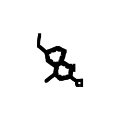 CCc1ccc2nc(Cl)cc(C)c2c1